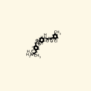 Cc1ccc(Cl)c(C(=O)NC(=O)Nc2ccc(S(=O)(=O)Cc3ccc(CC(C)(C)N)cc3)cc2)c1